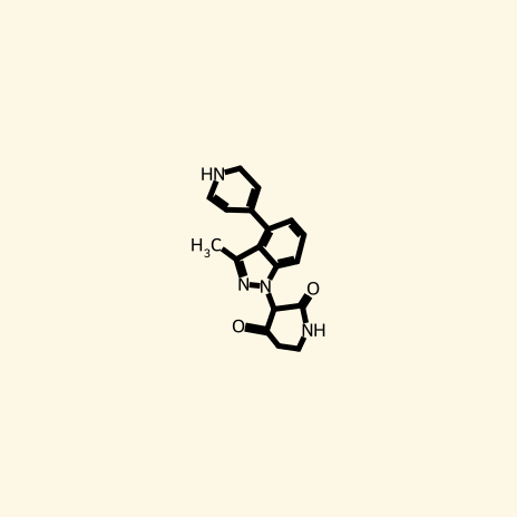 Cc1nn(C2C(=O)CCNC2=O)c2cccc(C3=CCNC=C3)c12